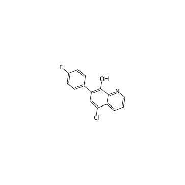 Oc1c(-c2ccc(F)cc2)cc(Cl)c2cccnc12